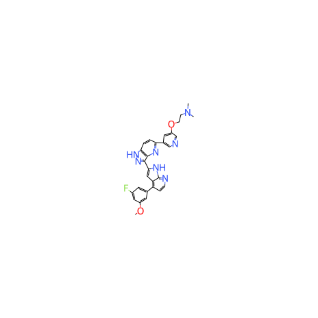 COc1cc(F)cc(-c2ccnc3[nH]c(-c4n[nH]c5ccc(-c6cncc(OCCN(C)C)c6)nc45)cc23)c1